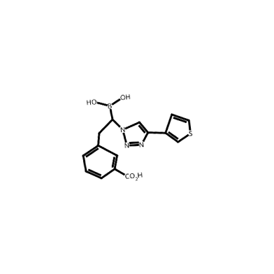 O=C(O)c1cccc(CC(B(O)O)n2cc(-c3ccsc3)nn2)c1